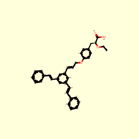 CCO[C@@H](Cc1ccc(OC/C=C/c2cc(C=Cc3ccccc3)cc(C=Cc3ccccc3)c2)cc1)C(=O)O